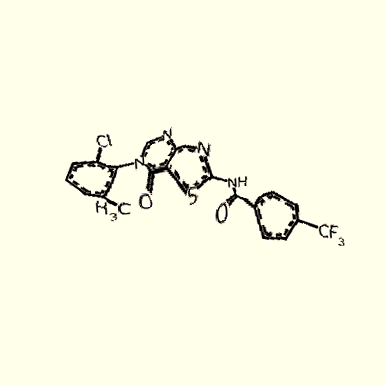 Cc1cccc(Cl)c1-n1cnc2nc(NC(=O)c3ccc(C(F)(F)F)cc3)sc2c1=O